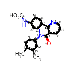 Cc1ccc(NC(=O)c2cccnc2-c2ccc(NC(=O)O)cc2)cc1C(F)(F)F